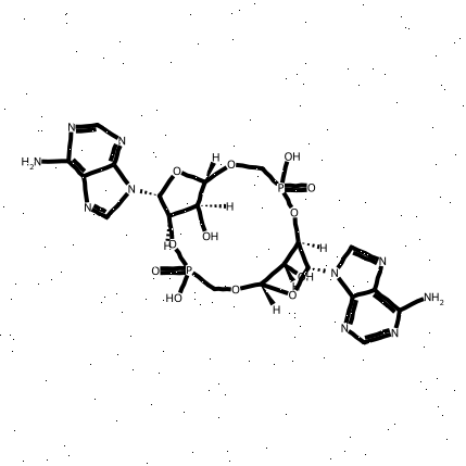 Nc1ncnc2c1ncn2[C@@H]1O[C@@H]2OCP(=O)(O)O[C@@H]3[C@H](O)[C@@H](OCP(=O)(O)O[C@@H]1[C@@H]2O)O[C@H]3n1cnc2c(N)ncnc21